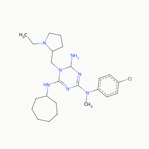 CCN1CCCC1CN1C(NC2CCCCCC2)=NC(N(C)c2ccc(Cl)cc2)=NC1N